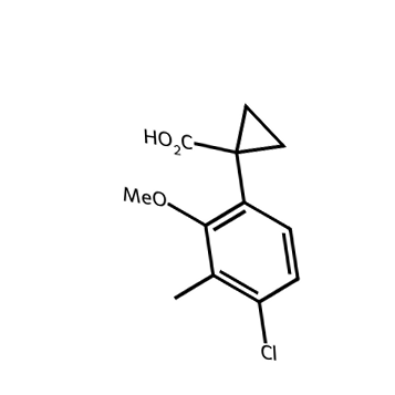 COc1c(C2(C(=O)O)CC2)ccc(Cl)c1C